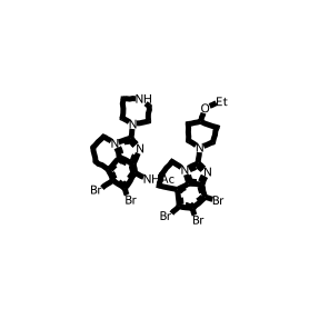 CC(=O)Nc1c(Br)c(Br)c2c3c1nc(N1CCNCC1)n3CCC2.CCOC1CCN(c2nc3c(Br)c(Br)c(Br)c4c3n2CCC4)CC1